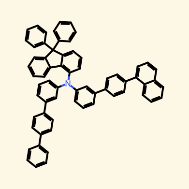 c1ccc(-c2ccc(-c3cccc(N(c4cccc(-c5ccc(-c6cccc7ccccc67)cc5)c4)c4cccc5c4-c4ccccc4C5(c4ccccc4)c4ccccc4)c3)cc2)cc1